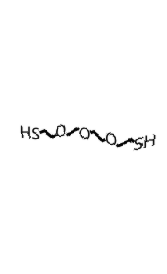 SCCOCCOCCOCCS